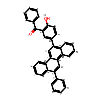 O=C(c1ccccc1)c1cc(-c2cc3c4ccccc4c(-c4ccccc4)cc3c3ccccc23)ccc1O